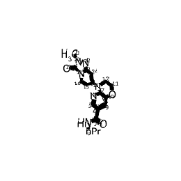 CCCNC(=O)c1cnc2c(c1)OCCN2c1ccn2c(=O)n(C)nc2c1